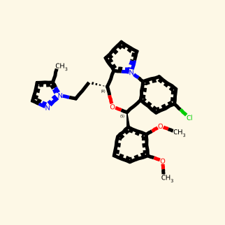 COc1cccc([C@H]2O[C@H](CCn3nccc3C)c3cccn3-c3ccc(Cl)cc32)c1OC